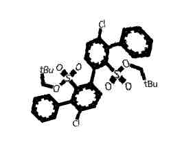 CC(C)(C)COS(=O)(=O)c1c(-c2ccc(Cl)c(-c3ccccc3)c2S(=O)(=O)OCC(C)(C)C)ccc(Cl)c1-c1ccccc1